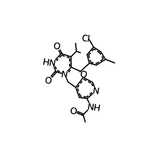 CC(=O)Nc1cc(Cn2c(C(=O)c3cc(C)cc(Cl)c3)c(C(C)C)c(=O)[nH]c2=O)ccn1